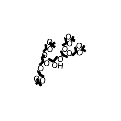 CC1(C)OCC(COCC(COCC2COC(C)(C)O2)OCC(O)COC(COCC2COC(C)(C)O2)COCC2COC(C)(C)O2)O1